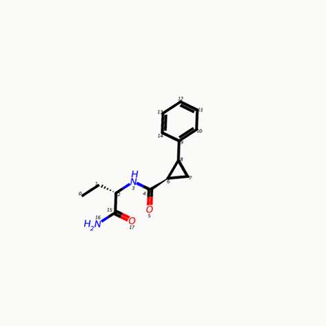 CC[C@H](NC(=O)[C@@H]1CC1c1ccccc1)C(N)=O